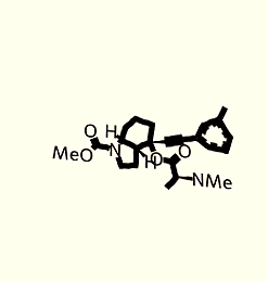 CN[C@@H](C)C(=O)O[C@@]1(C#Cc2cccc(C)c2)CCC[C@@H]2[C@H]1CCN2C(=O)OC